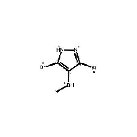 CBc1c(Br)n[nH]c1Br